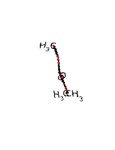 CCCCCCCCCCCCCCCCCCCCCC(=O)OCCCCCCCCCCCCCC(C)C